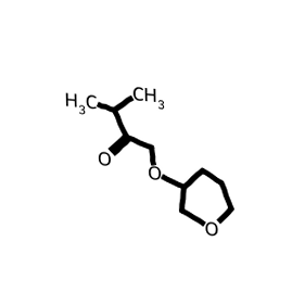 CC(C)C(=O)COC1CCCOC1